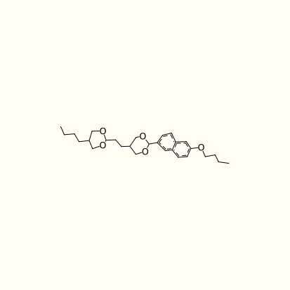 CCCCOc1ccc2cc(C3OCC(CCC4OCC(CCCC)CO4)CO3)ccc2c1